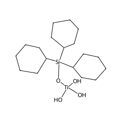 [OH][Ti]([OH])([OH])[O][Si](C1CCCCC1)(C1CCCCC1)C1CCCCC1